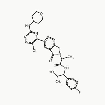 CC(O)C(NC(=O)C(C)N1Cc2ccc(-c3nc(NC4CCOCC4)ncc3Cl)cc2C1=O)c1ccc(F)cn1